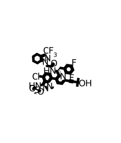 Cn1nc(NS(C)(=O)=O)c2c(Cl)ccc(-c3ccc(C#CC(C)(C)O)nc3[C@H](Cc3cc(F)cc(F)c3)NC(=O)Cn3nc(C(F)(F)F)c4c3CCCC4)c21